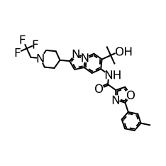 Cc1cccc(-c2nc(C(=O)Nc3cc4cc(C5CCN(CC(F)(F)F)CC5)nn4cc3C(C)(C)O)co2)c1